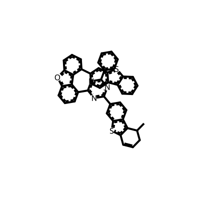 CC1CC=Cc2sc3cc(-c4nc(-c5ccccc5)nc(-c5cccc6oc7cccc(-c8ccc9c(c8)sc8ccccc89)c7c56)n4)ccc3c21